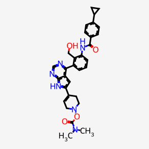 CN(C)C(=O)ON1CC=C(c2cc3c(-c4cccc(NC(=O)c5ccc(C6CC6)cc5)c4CO)ncnc3[nH]2)CC1